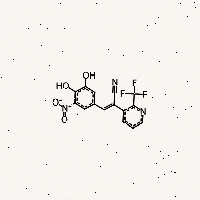 N#C/C(=C\c1cc(O)c(O)c([N+](=O)[O-])c1)c1cccnc1C(F)(F)F